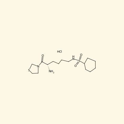 Cl.N[C@@H](CCCCNS(=O)(=O)C1CCCCC1)C(=O)N1CCSC1